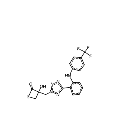 O=C1SCC1(O)Cn1nnc(-c2ccccc2Nc2ccc(C(F)(F)F)cc2)n1